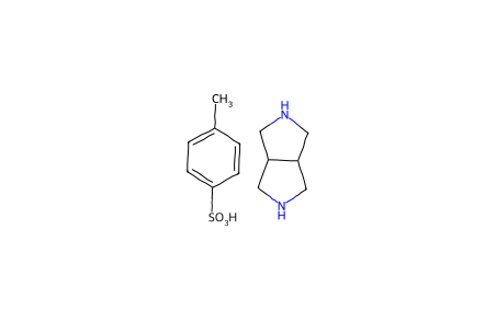 C1NCC2CNCC12.Cc1ccc(S(=O)(=O)O)cc1